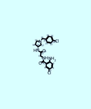 Nc1ccc(Cl)cc1C(=O)NCC(=O)N[C@@H]1CCN(Cc2ccc(Cl)cc2)C1